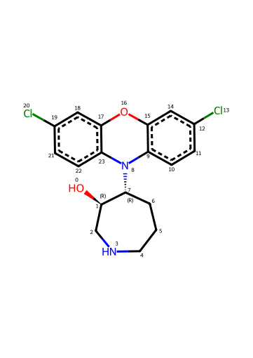 O[C@@H]1CNCCC[C@H]1N1c2ccc(Cl)cc2Oc2cc(Cl)ccc21